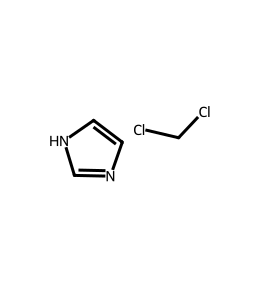 ClCCl.c1c[nH]cn1